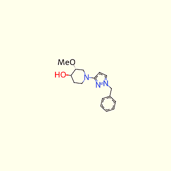 CO[C@@H]1CN(c2ccn(Cc3ccccc3)n2)CC[C@H]1O